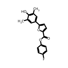 Cc1cc(-c2ccc(C(=O)Oc3ccc(F)cc3)o2)cc(C)c1O